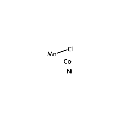 [Cl][Mn].[Co].[Ni]